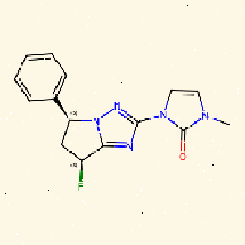 Cn1ccn(-c2nc3n(n2)[C@H](c2ccccc2)C[C@@H]3F)c1=O